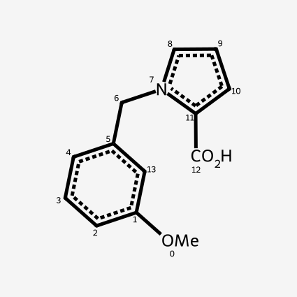 COc1cccc(Cn2cccc2C(=O)O)c1